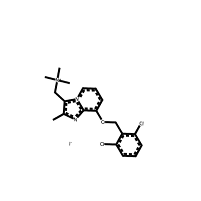 Cc1nc2c(OCc3c(Cl)cccc3Cl)cccn2c1C[N+](C)(C)C.[I-]